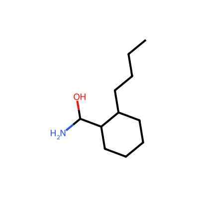 CCCCC1CCCCC1C(N)O